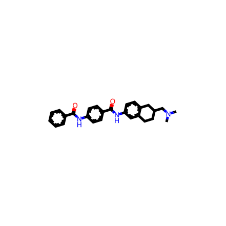 CN(C)CC1CCc2cc(NC(=O)c3ccc(NC(=O)c4ccccc4)cc3)ccc2C1